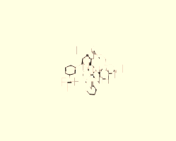 C[C@@H]1[C@H](O)CCN(C)c2ccc(-c3cccc(C(F)(F)F)c3)nc2N1C(=O)Nc1ccccn1